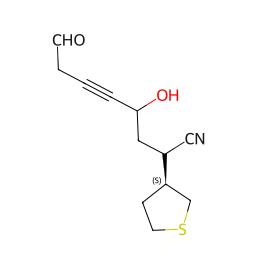 N#CC(CC(O)C#CCC=O)[C@@H]1CCSC1